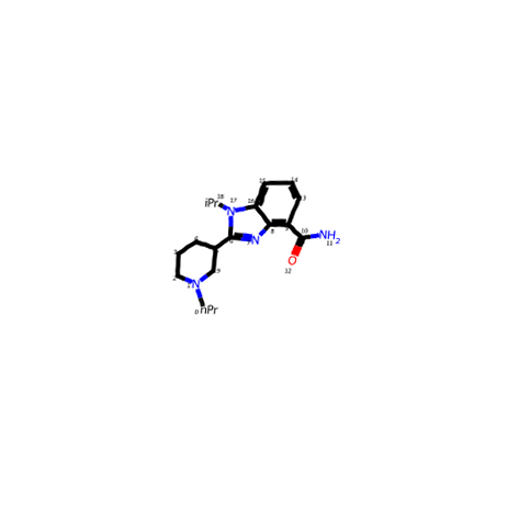 CCCN1CCCC(c2nc3c(C(N)=O)cccc3n2C(C)C)C1